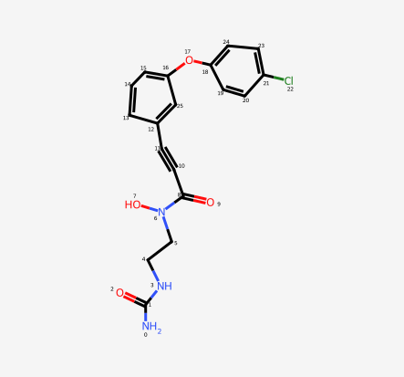 NC(=O)NCCN(O)C(=O)C#Cc1cccc(Oc2ccc(Cl)cc2)c1